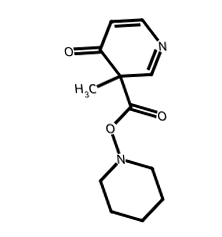 CC1(C(=O)ON2CCCCC2)C=NC=CC1=O